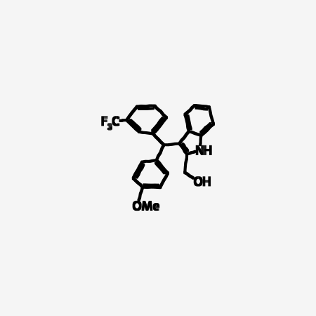 COc1ccc(C(c2cccc(C(F)(F)F)c2)c2c(CO)[nH]c3ccccc23)cc1